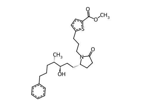 COC(=O)c1ccc(CCCN2C(=O)CC[C@@H]2CC[C@@H](O)[C@@H](C)CCCc2ccccc2)s1